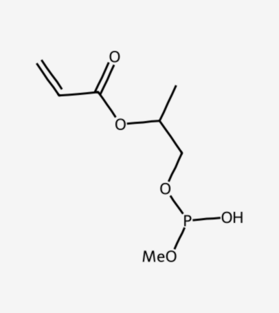 C=CC(=O)OC(C)COP(O)OC